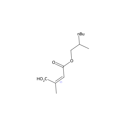 CCCCC(C)COC(=O)/C=C(/C)C(=O)O